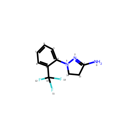 NC1=NN(c2ccccc2C(F)(F)F)CC1